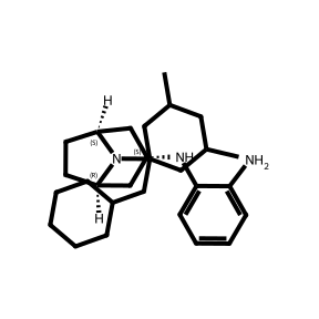 CC1CC(C)CC(CC2CCCCC2)(N2[C@@H]3CC[C@H]2C[C@H](Nc2ccccc2N)C3)C1